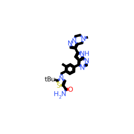 Cc1cc(-c2ncnc3[nH]c(-c4cnn5c4CN(C)CC5)cc23)ccc1CN1C=C(C(N)=O)SC1C(C)(C)C